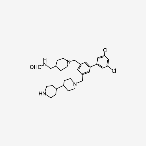 O=CNCC1CCN(Cc2cc(CN3CCC(C4CCNCC4)CC3)cc(-c3cc(Cl)cc(Cl)c3)c2)CC1